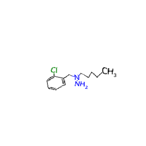 CCCCCN(N)Cc1ccccc1Cl